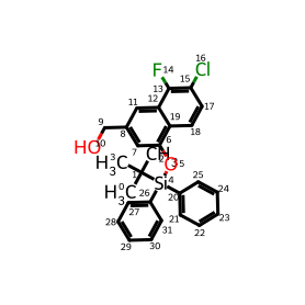 CC(C)(C)[Si](Oc1cc(CO)cc2c(F)c(Cl)ccc12)(c1ccccc1)c1ccccc1